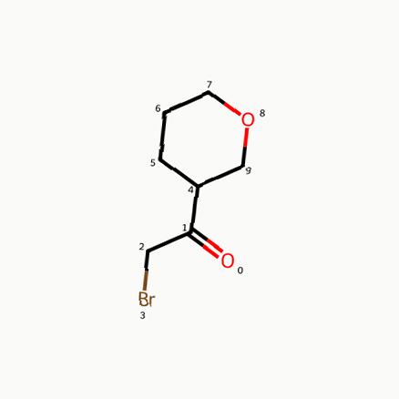 O=C(CBr)C1CCCOC1